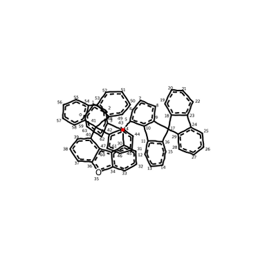 c1ccc(N(c2cccc3c2-c2ccccc2C32c3ccccc3-c3ccccc32)c2cccc3oc4cccc(C5(c6ccccc6)c6ccccc6-c6ccccc65)c4c23)cc1